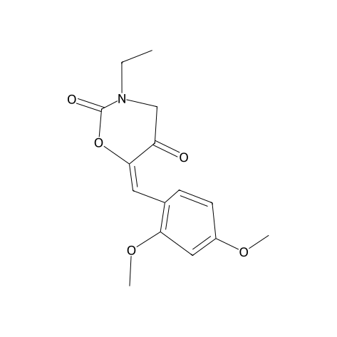 CCN1CC(=O)/C(=C\c2ccc(OC)cc2OC)OC1=O